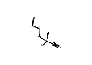 C#CC(C)(C)CCCC